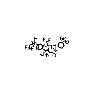 CCn1nc(C(=O)NC[C@H]2CC[C@@H](S(C)(=O)=O)CC2)c(Cl)c1-c1cnc(NC(C)(C)CC(F)(F)F)cc1OC(F)F